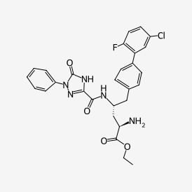 CCOC(=O)[C@H](N)C[C@@H](Cc1ccc(-c2cc(Cl)ccc2F)cc1)NC(=O)c1nn(-c2ccccc2)c(=O)[nH]1